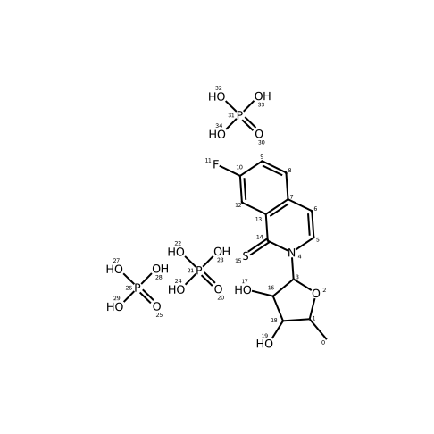 CC1OC(n2ccc3ccc(F)cc3c2=S)C(O)C1O.O=P(O)(O)O.O=P(O)(O)O.O=P(O)(O)O